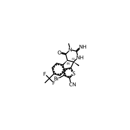 CN1C(=N)N[C@](C)(c2cc(Br)c(C#N)s2)[C@@H](c2ccc(C(C)(F)F)cc2)C1=O